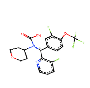 O=C(O)N(C1CCOCC1)[C@@H](c1ccc(OC(F)(F)F)c(F)c1)c1ncccc1F